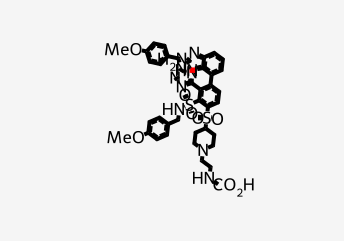 COc1ccc(CNS(=O)(=O)c2c(S(=O)(=O)C3CCN(CCNC(=O)O)CC3)ccc(-c3cccc4nc(N)[nH]c34)c2-c2nnn(Cc3ccc(OC)cc3)n2)cc1